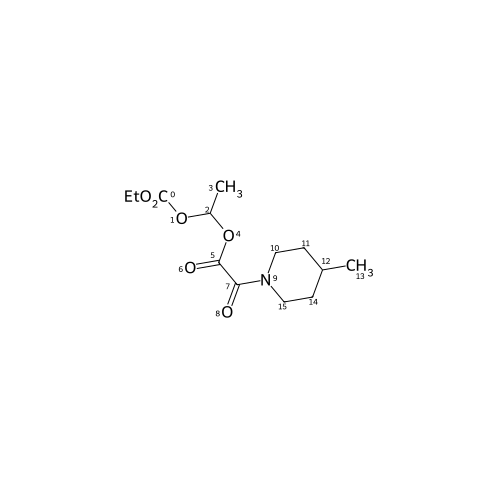 CCOC(=O)OC(C)OC(=O)C(=O)N1CCC(C)CC1